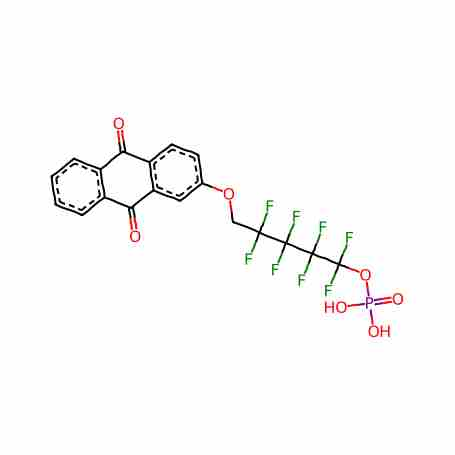 O=C1c2ccccc2C(=O)c2cc(OCC(F)(F)C(F)(F)C(F)(F)C(F)(F)OP(=O)(O)O)ccc21